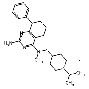 CC(C)N1CCC(CN(C)c2nc(N)nc3c2CCCC3c2ccccc2)CC1